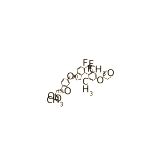 COC(=O)C[C@@H]1COc2cc(O[C@@H]3CCc4c3ccc(C(F)(F)F)c4-c3c(C)cc(OC4CCOCC4)cc3C)ccc21